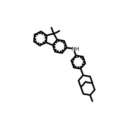 CC1CC2CC(C1)CC(c1ccc(Nc3ccc4c(c3)C(C)(C)c3ccccc3-4)cc1)C2